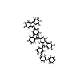 c1ccc(-c2cccc(-c3cccc(-n4c5ccccc5c5ccc(-n6c7ccccc7c7cc(-n8c9ccccc9c9ccccc98)ccc76)cc54)c3)c2)cc1